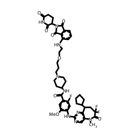 COc1cc(C(=O)NC2CCN(CCCOCCNc3cccc4c3C(=O)N(C3CCC(=O)NC3=O)C4=O)CC2)c(F)cc1Nc1ncc2c(n1)C(C1CCCC1)CC(F)(F)C(=O)N2C